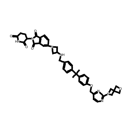 CC(C)(c1ccc(CNC2CN(c3ccc4c(c3)C(=O)N(C3CCC(=O)NC3=O)C4=O)C2)cc1)c1ccc(OCc2ccnc(N3CC4(COC4)C3)n2)cc1